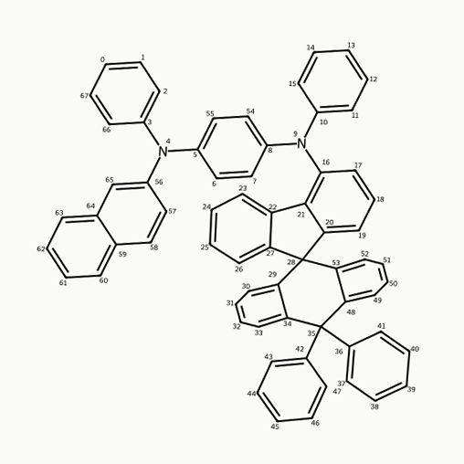 c1ccc(N(c2ccc(N(c3ccccc3)c3cccc4c3-c3ccccc3C43c4ccccc4C(c4ccccc4)(c4ccccc4)c4ccccc43)cc2)c2ccc3ccccc3c2)cc1